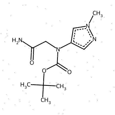 Cn1cc(N(CC(N)=O)C(=O)OC(C)(C)C)cn1